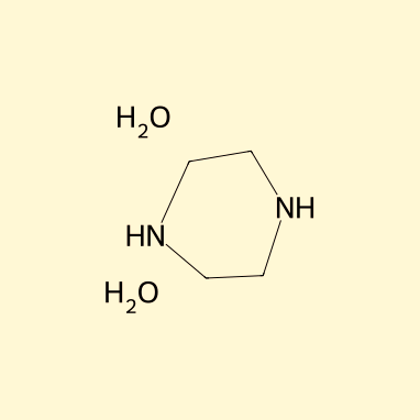 C1CNCCN1.O.O